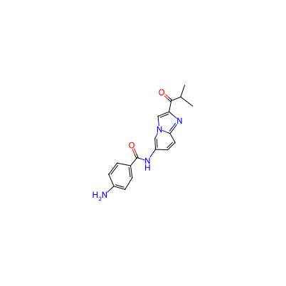 CC(C)C(=O)c1cn2cc(NC(=O)c3ccc(N)cc3)ccc2n1